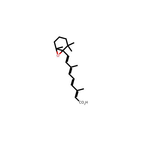 CC(/C=C/C12OC1(C)CCCC2(C)C)=C\C=C\C(C)=C\C(=O)O